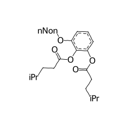 CCCCCCCCCOc1cccc(OC(=O)CCC(C)C)c1OC(=O)CCC(C)C